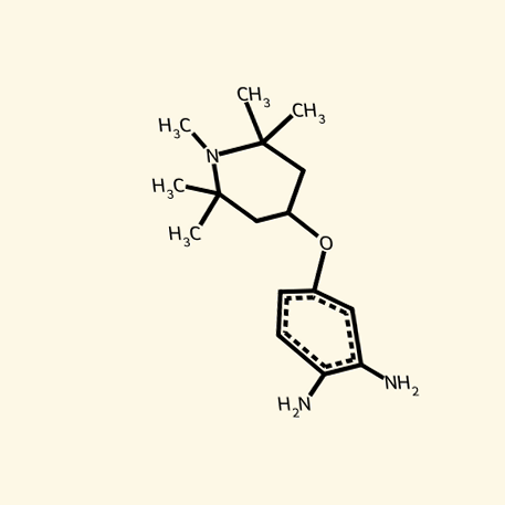 CN1C(C)(C)CC(Oc2ccc(N)c(N)c2)CC1(C)C